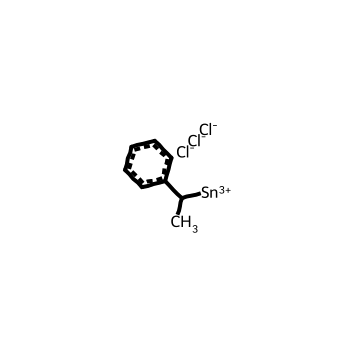 C[CH]([Sn+3])c1ccccc1.[Cl-].[Cl-].[Cl-]